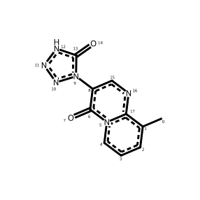 Cc1cccn2c(=O)c(-n3nn[nH]c3=O)cnc12